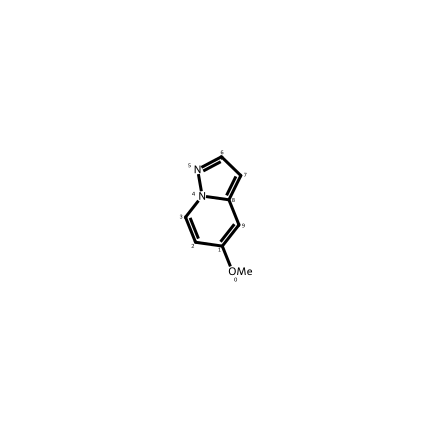 COc1ccn2n[c]cc2c1